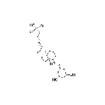 C=C(COCCCC(O)(CC)CC)[C@H]1CC[C@H]2/C(=C/C=C3C[C@@H](O)C[C@H](O)C3)CCC[C@]12C